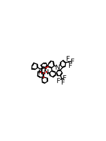 FC(F)(F)c1ccc2c(c1)c1cc(C(F)(F)F)ccc1n2-c1cccc(-c2cc(-c3ccccc3)nc(-c3ccccc3)n2)c1-c1ccccc1-n1c2ccccc2c2ccccc21